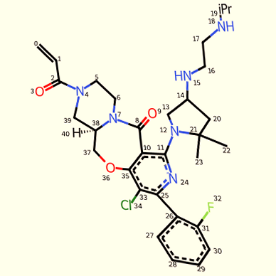 C=CC(=O)N1CCN2C(=O)c3c(N4CC(NCCNC(C)C)CC4(C)C)nc(-c4ccccc4F)c(Cl)c3OC[C@H]2C1